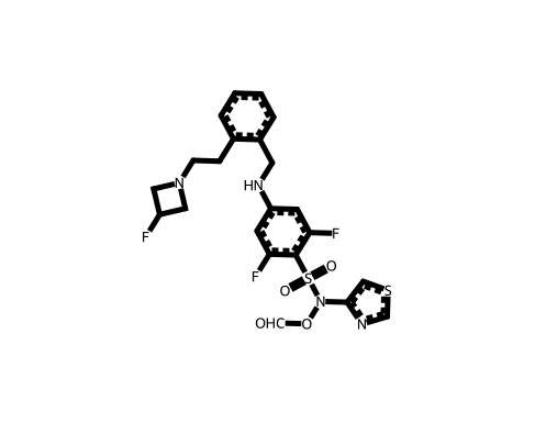 O=CON(c1cscn1)S(=O)(=O)c1c(F)cc(NCc2ccccc2CCN2CC(F)C2)cc1F